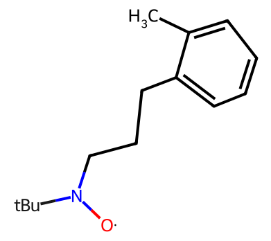 Cc1ccccc1CCCN([O])C(C)(C)C